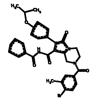 Cc1cc(C(=O)N2CCn3c(c(C(=O)NC(=O)c4ccccc4)n(-c4ccc(OC(C)C)cc4)c3=O)C2)ccc1Br